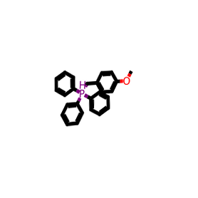 COc1ccc(C[PH](c2ccccc2)(c2ccccc2)c2ccccc2)cc1